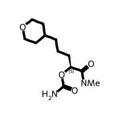 CNC(=O)[C@H](CCCC1CCOCC1)OC(N)=O